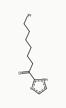 CC(C)CCCCCCC(=O)c1ncc[nH]1